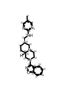 Cc1cnc(NC[C@@H]2CC[C@H]3CN(c4noc5ccccc45)CCN3C2)nc1